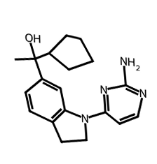 CC(O)(c1ccc2c(c1)N(c1ccnc(N)n1)CC2)C1CCCC1